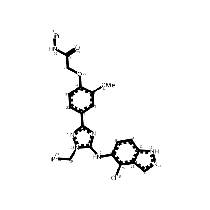 COc1cc(-c2nc(Nc3ccc4[nH]ncc4c3Cl)n(CC(C)C)n2)ccc1OCC(=O)NC(C)C